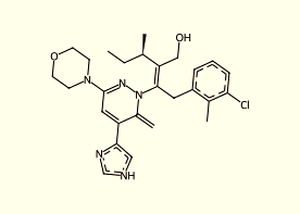 C=C1C(c2c[nH]cn2)=CC(N2CCOCC2)=NN1/C(Cc1cccc(Cl)c1C)=C(/CO)[C@H](C)CC